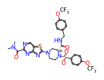 CN(C)C(=O)c1ncc2sc(N3CCN(S(=O)(=O)c4ccc(OC(F)(F)F)cc4)[C@@H](C(=O)NCc4ccc(OC(F)(F)F)cc4)C3)nc2n1